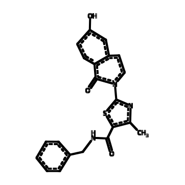 Cc1nc(-n2ccc3cc(O)ccc3c2=O)sc1C(=O)NCc1ccccc1